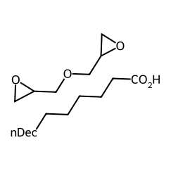 C(OCC1CO1)C1CO1.CCCCCCCCCCCCCCCC(=O)O